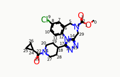 COC(=O)N1Cc2cc(Cl)ccc2-n2c(nnc2C2CCN(C(=O)C3CC3)CC2)C1